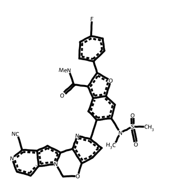 CNC(=O)c1c(-c2ccc(F)cc2)oc2cc(N(C)S(C)(=O)=O)c(-c3ccc4c(n3)-c3cc5c(C#N)nccc5n3CO4)cc12